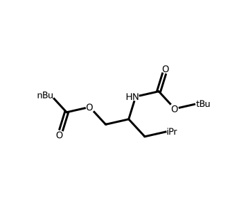 CCCCC(=O)OCC(CC(C)C)NC(=O)OC(C)(C)C